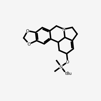 CC(C)(C)[Si](C)(C)OC1C=C2CCN3Cc4cc5c(cc4C(C1)C23)OCO5